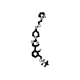 CC(C)(C)[Si](C)(C)OCc1cccc(-c2cnc(N3CCC(=NOCCn4cccn4)CC3)nc2)c1F